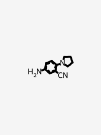 N#Cc1cc(N)ccc1N1CCCC1